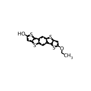 CCOc1cc2sc3cc4c(cc3c2s1)sc1cc(O)sc14